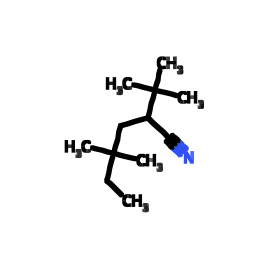 CCC(C)(C)CC(C#N)C(C)(C)C